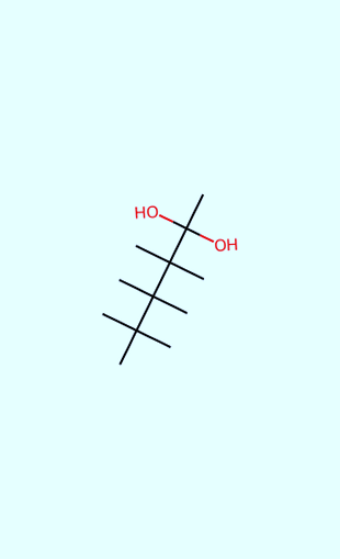 CC(C)(C)C(C)(C)C(C)(C)C(C)(O)O